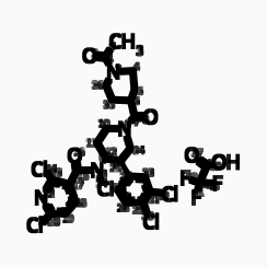 CC(=O)N1CCC(C(=O)N2CC[C@@H](N(C)C(=O)c3ccc(Cl)nc3Cl)[C@H](c3ccc(Cl)c(Cl)c3)C2)CC1.O=C(O)C(F)(F)F